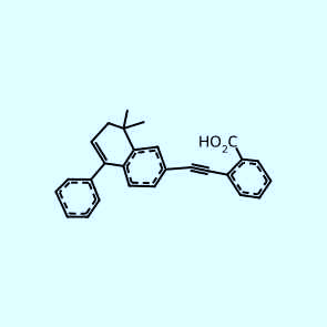 CC1(C)CC=C(c2ccccc2)c2ccc(C#Cc3ccccc3C(=O)O)cc21